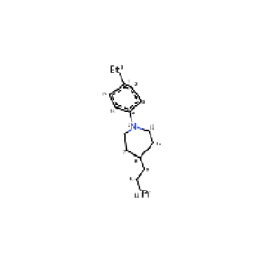 CCc1ccc(N2CCC(CCC(C)C)CC2)cc1